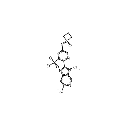 CCS(=O)(=O)c1cc(N=S2(=O)CCC2)cnc1-c1nc2cc(C(F)(F)F)ncc2n1C